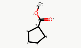 CCOC(=O)[C]1CCCC1